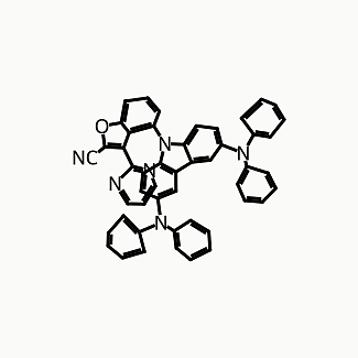 N#Cc1oc2cccc(-n3c4ccc(N(c5ccccc5)c5ccccc5)cc4c4cc(N(c5ccccc5)c5ccccc5)ccc43)c2c1-c1ncccn1